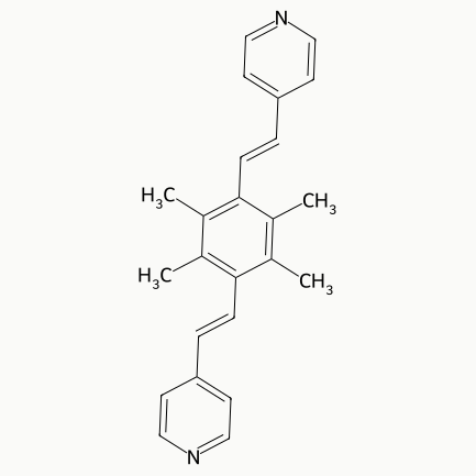 Cc1c(C)c(/C=C/c2ccncc2)c(C)c(C)c1/C=C/c1ccncc1